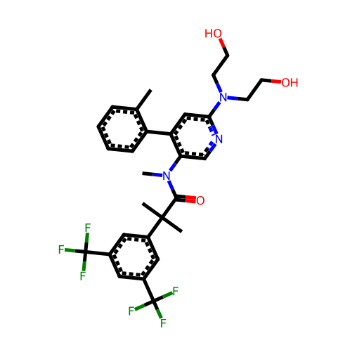 Cc1ccccc1-c1cc(N(CCO)CCO)ncc1N(C)C(=O)C(C)(C)c1cc(C(F)(F)F)cc(C(F)(F)F)c1